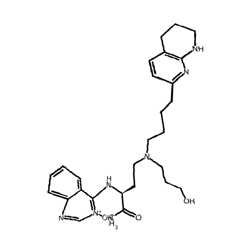 CC(=O)[C@H](CCN(CCCO)CCCCc1ccc2c(n1)NCCC2)Nc1c2ccccc2nc[n+]1O